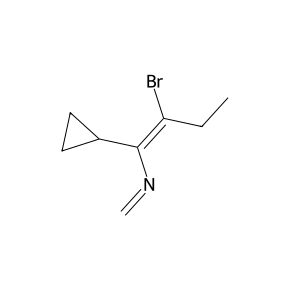 C=N/C(=C(/Br)CC)C1CC1